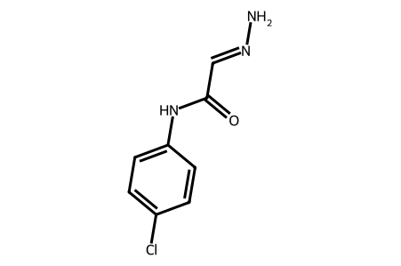 NN=CC(=O)Nc1ccc(Cl)cc1